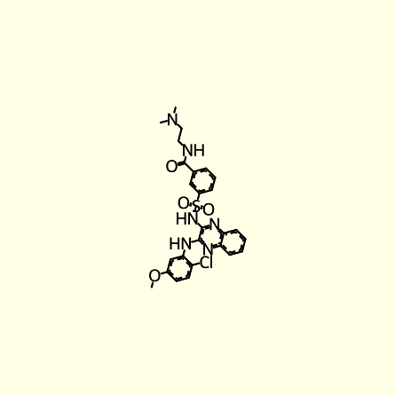 COc1ccc(Cl)c(Nc2nc3ccccc3nc2NS(=O)(=O)c2cccc(C(=O)NCCN(C)C)c2)c1